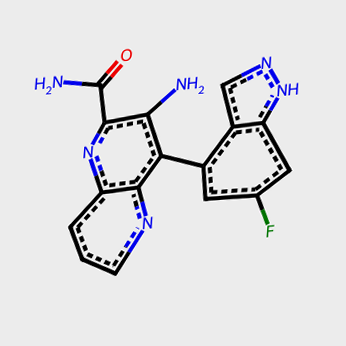 NC(=O)c1nc2cccnc2c(-c2cc(F)cc3[nH]ncc23)c1N